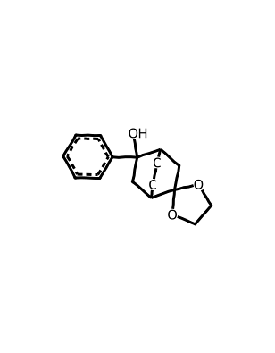 OC1(c2ccccc2)CC2CCC1CC21OCCO1